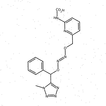 Cn1nnnc1C(ON=NOCc1cccc(NC(=O)O)n1)c1ccccc1